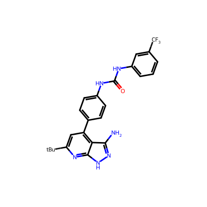 CC(C)(C)c1cc(-c2ccc(NC(=O)Nc3cccc(C(F)(F)F)c3)cc2)c2c(N)n[nH]c2n1